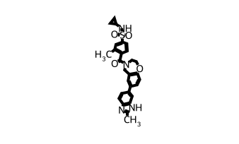 Cc1nc2ccc(-c3ccc4c(c3)CN(C(=O)c3ccc(S(=O)(=O)NC5CC5)cc3C)CCO4)cc2[nH]1